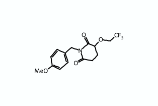 COc1ccc(CN2C(=O)CCC(OCC(F)(F)F)C2=O)cc1